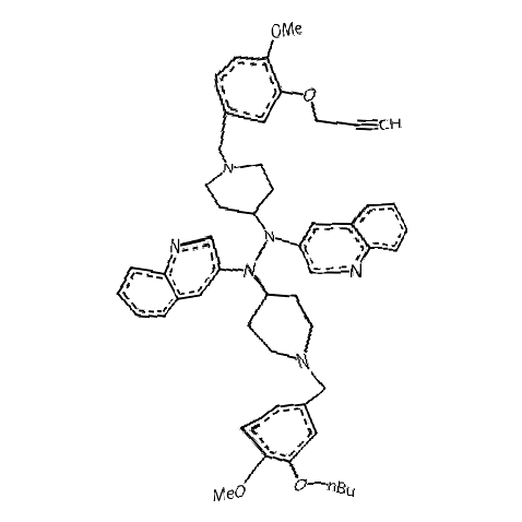 C#CCOc1cc(CN2CCC(N(c3cnc4ccccc4c3)N(c3cnc4ccccc4c3)C3CCN(Cc4ccc(OC)c(OCCCC)c4)CC3)CC2)ccc1OC